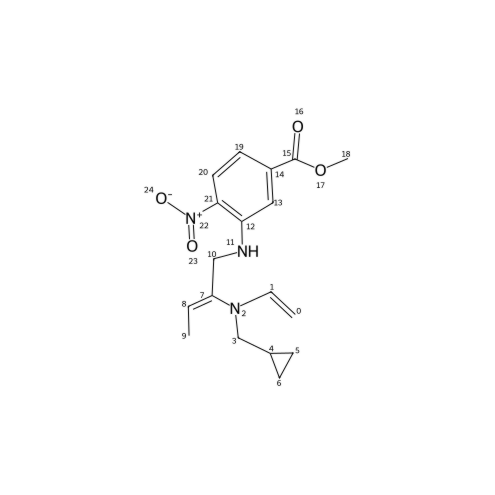 C=CN(CC1CC1)/C(=C\C)CNc1cc(C(=O)OC)ccc1[N+](=O)[O-]